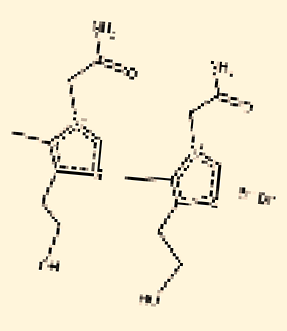 Cc1c(CCO)sc[n+]1CC(N)=O.Cc1c(CCO)sc[n+]1CC(N)=O.[Br-].[Br-]